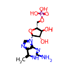 C=C1NC(N)=Nc2c1ncn2[C@@H]1O[C@H](COP(=O)(O)O)C(O)[C@@H]1O